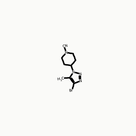 Cc1c(Br)nnn1C1CCN(C#N)CC1